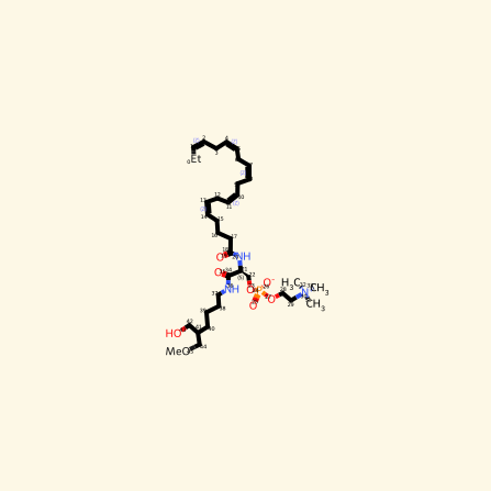 CC/C=C\C/C=C\C/C=C\C/C=C\C/C=C\CCCC(=O)N[C@@H](COP(=O)([O-])OCC[N+](C)(C)C)C(=O)NCCCCC(CO)COC